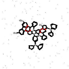 CC(C)(C)c1ccc2c(c1)c1cc(C(C)(C)C)ccc1n2-c1ccc2c(c1)N(c1ccccc1-c1ccccc1)c1cc(-c3cc(N(c4ccccc4)c4ccccc4)ccc3C#N)cc3c1B2c1ccc(N(c2ccccc2)c2ccccc2)cc1N3c1ccccc1-c1ccccc1